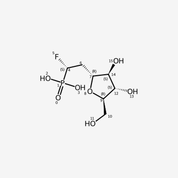 O=P(O)(O)[C@H](F)C[C@H]1O[C@H](CO)[C@@H](O)[C@@H]1O